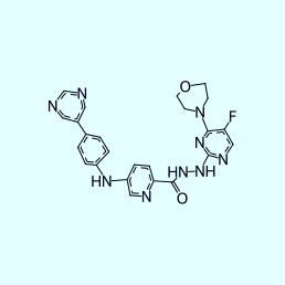 O=C(NNc1ncc(F)c(N2CCOCC2)n1)c1ccc(Nc2ccc(-c3cncnc3)cc2)cn1